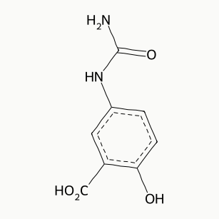 NC(=O)Nc1ccc(O)c(C(=O)O)c1